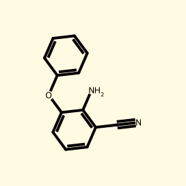 N#Cc1cccc(Oc2ccccc2)c1N